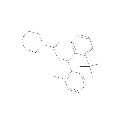 O=C(OC(c1cnccc1Cl)c1ccccc1C(F)(F)F)N1CCOCC1